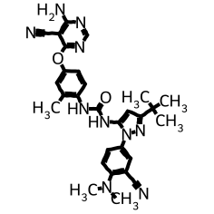 Cc1cc(Oc2ncnc(N)c2C#N)ccc1NC(=O)Nc1cc(C(C)(C)C)nn1-c1ccc(N(C)C)c(C#N)c1